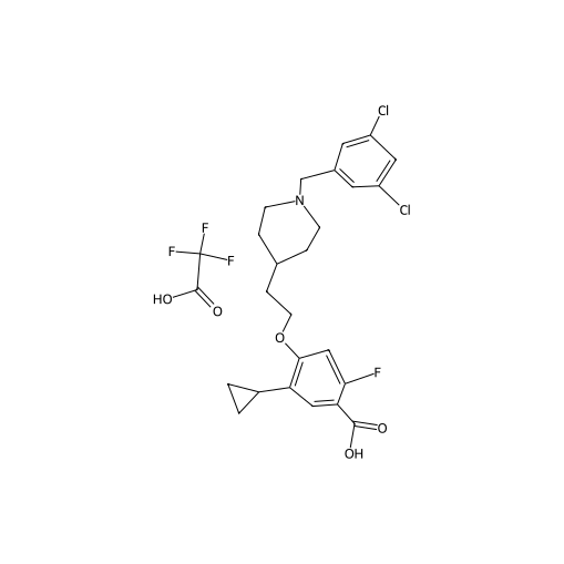 O=C(O)C(F)(F)F.O=C(O)c1cc(C2CC2)c(OCCC2CCN(Cc3cc(Cl)cc(Cl)c3)CC2)cc1F